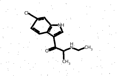 CCNC(C)C(=O)c1c[nH]c2cc(Cl)ccc12